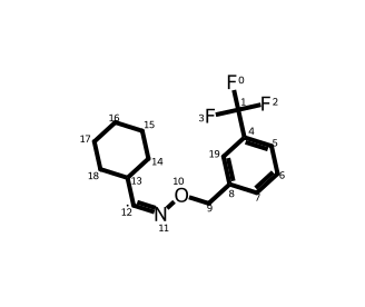 FC(F)(F)c1cccc(CO/N=[C]\C2CCCCC2)c1